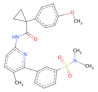 COc1ccc(C2(C(=O)Nc3ccc(C)c(-c4cccc(S(=O)(=O)N(C)C)c4)n3)CC2)cc1